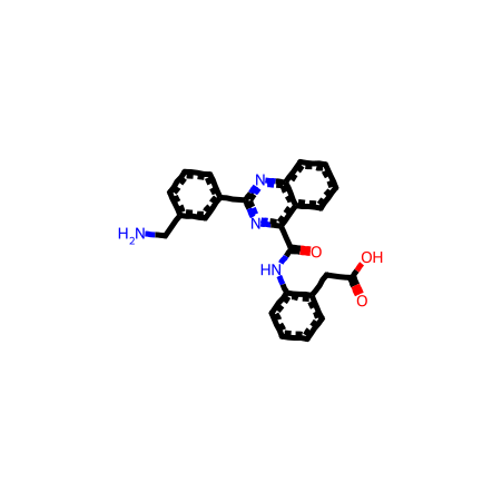 NCc1cccc(-c2nc(C(=O)Nc3ccccc3CC(=O)O)c3ccccc3n2)c1